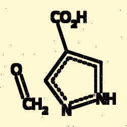 C=O.O=C(O)c1cn[nH]c1